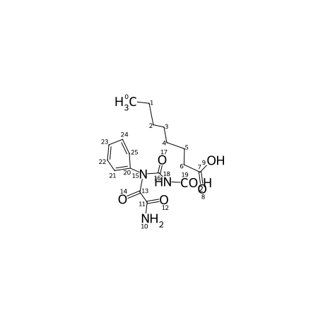 CCCCCCCC(=O)O.NC(=O)C(=O)N(C(=O)NC(=O)O)c1ccccc1